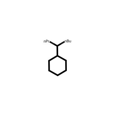 CCCCC(CCC)C1CCCCC1